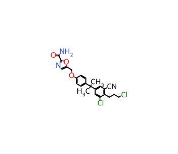 CC(C)(c1ccc(OCc2cnc(C(N)=O)o2)cc1)c1cc(Cl)c(CCCCl)c(C#N)c1